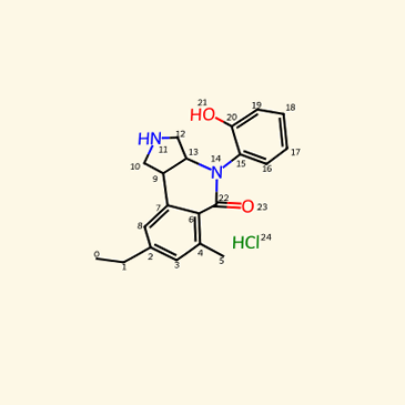 CCc1cc(C)c2c(c1)C1CNCC1N(c1ccccc1O)C2=O.Cl